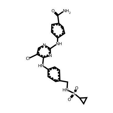 NC(=O)c1ccc(Nc2ncc(Cl)c(Nc3ccc(CNS(=O)(=O)C4CC4)cc3)n2)cc1